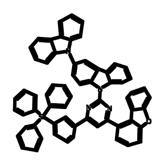 c1ccc([Si](c2ccccc2)(c2ccccc2)c2cccc(-c3cc(-c4cccc5oc6ccccc6c45)nc(-n4c5ccccc5c5cc(-n6c7ccccc7c7ccccc76)ccc54)n3)c2)cc1